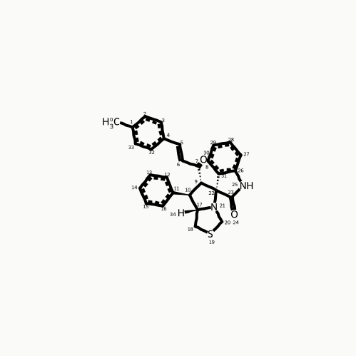 Cc1ccc(/C=C/C(=O)[C@H]2[C@H](c3ccccc3)[C@H]3CSCN3[C@]23C(=O)Nc2ccccc23)cc1